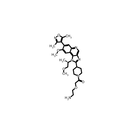 COC[C@@H](C)n1c(C2CCN(C(=O)COCCN)CC2)nc2cnc3cc(-c4c(C)noc4C)c(OC)cc3c21